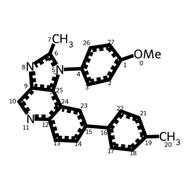 COc1ccc(-n2c(C)nc3cnc4ccc(-c5ccc(C)cc5)cc4c32)cc1